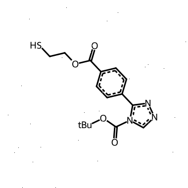 CC(C)(C)OC(=O)n1cnnc1-c1ccc(C(=O)OCCS)cc1